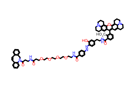 O=C(CCOCCOCCOCCOCCNC(=O)c1ccc(/N=N/c2ccc(CCNC(=O)c3cccc(C4=C5C=C6CCCN7CCCC(=C5Oc5c4cc4c8c5CCCN8CCC4)C67)c3C(=O)O)cc2O)cc1)NCCC(=O)N1Cc2ccccc2C#Cc2ccccc21